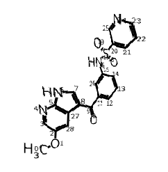 COc1cnc2[nH]cc(C(=O)c3cccc(NS(=O)(=O)c4cccnc4)c3)c2c1